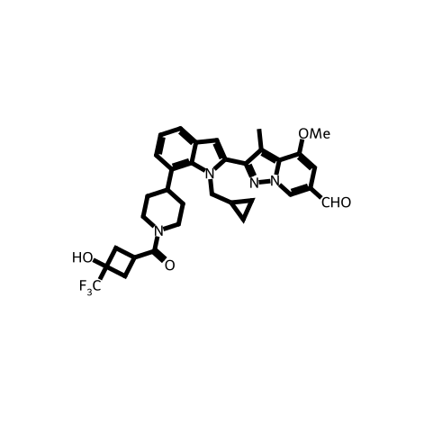 COc1cc(C=O)cn2nc(-c3cc4cccc(C5CCN(C(=O)C6CC(O)(C(F)(F)F)C6)CC5)c4n3CC3CC3)c(C)c12